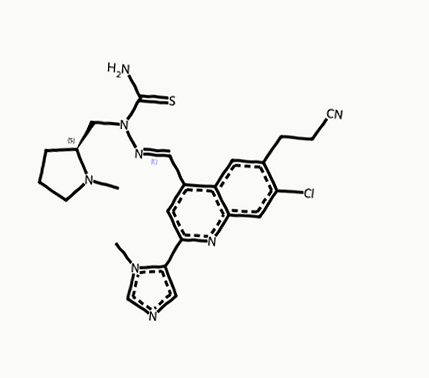 CN1CCC[C@H]1CN(/N=C/c1cc(-c2cncn2C)nc2cc(Cl)c(CCC#N)cc12)C(N)=S